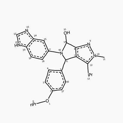 CCCOc1ccc(C2c3c(nn(C)c3C(C)C)C(O)N2c2ccc3[nH]cnc3c2)cc1